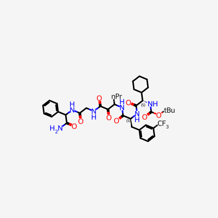 CCCC(NC(=O)[C@H](Cc1cccc(C(F)(F)F)c1)NC(=O)[C@@H](NC(=O)OC(C)(C)C)C1CCCCC1)C(=O)C(=O)NCC(=O)NC(C(N)=O)c1ccccc1